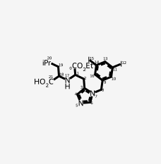 CCOC(=O)C(Cc1cncn1Cc1cc(I)cc(I)c1)NC(CC(C)C)C(=O)O